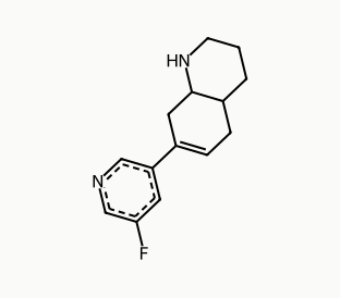 Fc1cncc(C2=CCC3CCCNC3C2)c1